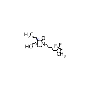 C=C/C=C1/C(=O)N(CCCCC(C)C(F)(F)F)CCN1CO